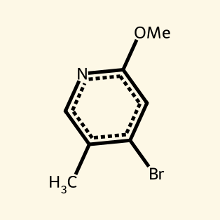 COc1cc(Br)c(C)cn1